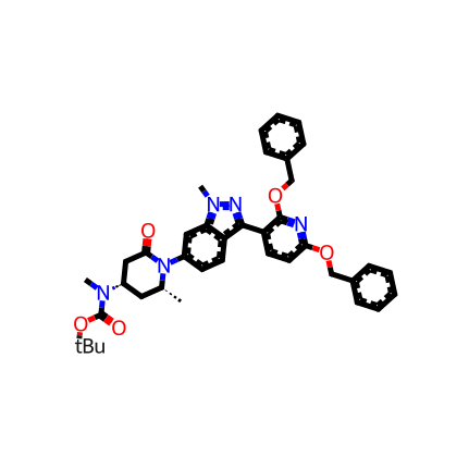 C[C@@H]1C[C@H](N(C)C(=O)OC(C)(C)C)CC(=O)N1c1ccc2c(-c3ccc(OCc4ccccc4)nc3OCc3ccccc3)nn(C)c2c1